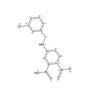 O=C(O)c1cc(NCc2cccc(Cl)c2)ccc1[N+](=O)[O-]